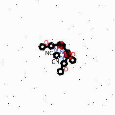 N#Cc1cc(C#N)c(-n2c3ccccc3c3cc4oc5ccccc5c4cc32)c(-n2c3ccccc3c3cc4oc5ccccc5c4cc32)c1-n1c2ccccc2c2cc3oc4c(c3cc21)CCC=C4